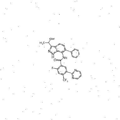 CC(O)c1n[nH]c2c(NC(=O)c3cc(-c4ncccn4)c(C(F)(F)F)cc3F)c(-c3ccccc3)ccc12